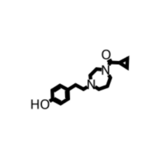 O=C(C1CC1)N1CCCN(CCc2ccc(O)cc2)CC1